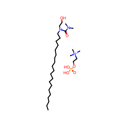 CCCCCCCCCCCCCCCCCCCCN(CCO)C(=O)N(C)C.C[N+](C)(C)CCOP(=O)(O)O